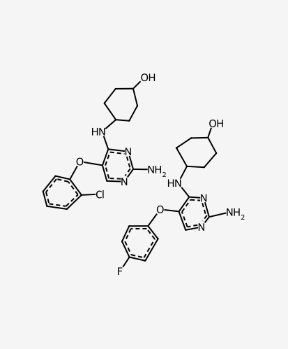 Nc1ncc(Oc2ccc(F)cc2)c(NC2CCC(O)CC2)n1.Nc1ncc(Oc2ccccc2Cl)c(NC2CCC(O)CC2)n1